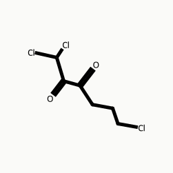 O=C(CCCCl)C(=O)C(Cl)Cl